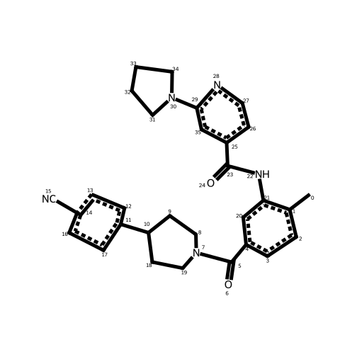 Cc1ccc(C(=O)N2CCC(c3ccc(C#N)cc3)CC2)cc1NC(=O)c1ccnc(N2CCCC2)c1